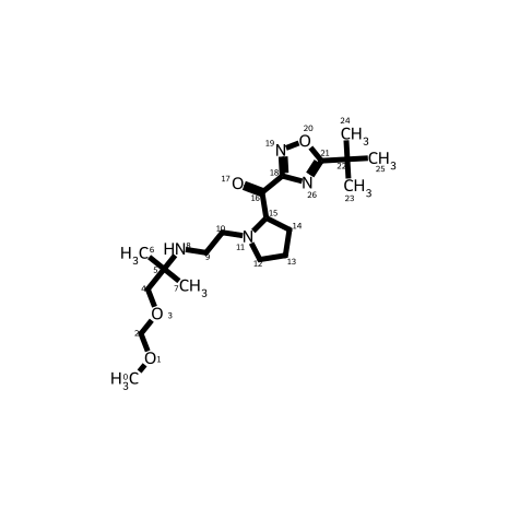 COCOCC(C)(C)NCCN1CCCC1C(=O)c1noc(C(C)(C)C)n1